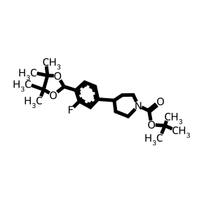 CC(C)(C)OC(=O)N1CCC(c2ccc(C3OC(C)(C)C(C)(C)O3)c(F)c2)CC1